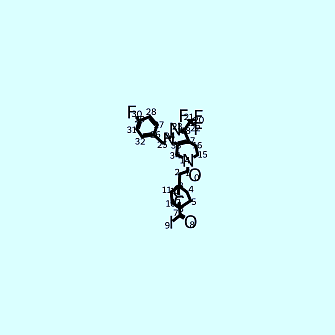 O=C(CC12CCC(C(=O)I)(CC1)CC2)N1CCc2c(C(F)(F)F)nn(Cc3ccc(F)cc3)c2C1